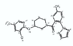 Cc1cnc(-n2nccn2)c(C(=O)N2CCCC(Oc3ncc(C(F)(F)F)cc3Cl)C2)c1